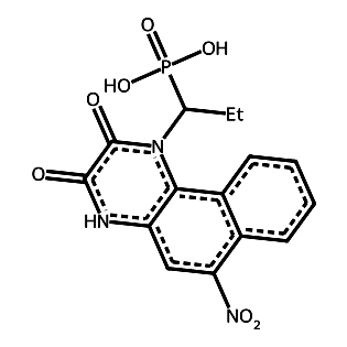 CCC(n1c(=O)c(=O)[nH]c2cc([N+](=O)[O-])c3ccccc3c21)P(=O)(O)O